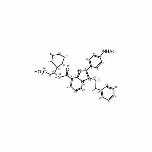 CC(=O)Nc1ccc(-c2nc3c(C(=O)NC(CC(=O)O)C4CCCCC4)cccn3c2NCc2ccccc2)cc1